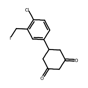 O=C1CC(=O)CC(c2ccc(Cl)c(CI)c2)C1